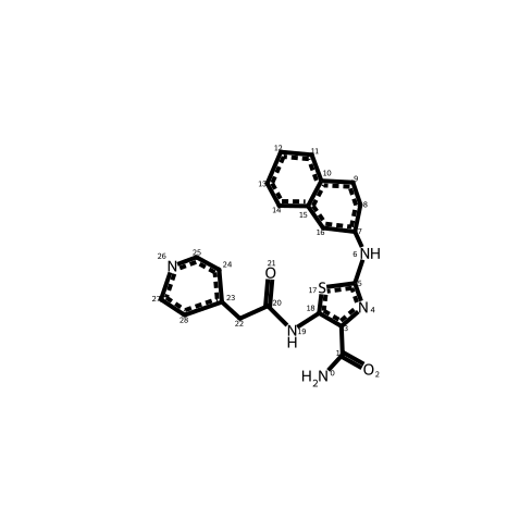 NC(=O)c1nc(Nc2ccc3ccccc3c2)sc1NC(=O)Cc1ccncc1